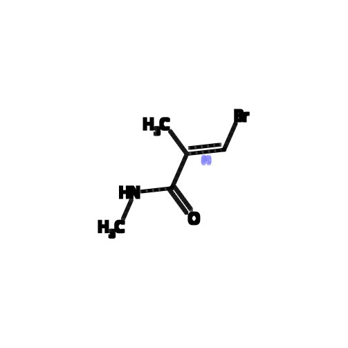 CNC(=O)/C(C)=C/Br